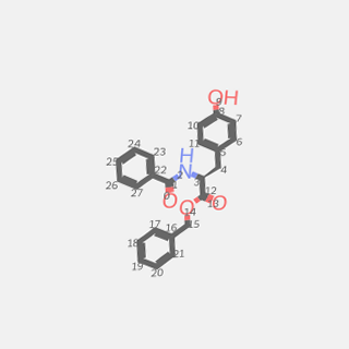 O=C(N[C@@H](Cc1ccc(O)cc1)C(=O)OCc1ccccc1)c1ccccc1